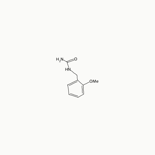 COc1ccccc1CNC(N)=O